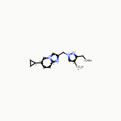 COCc1nn(Cc2cn3cc(C4CC4)ccc3n2)cc1C(=O)O